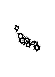 C[C@]12CC[C@H](Oc3cncs3)CC1=CC[C@@H]1[C@@H]2CC[C@]2(C)C(n3cnc4ccccc43)=CC[C@@H]12